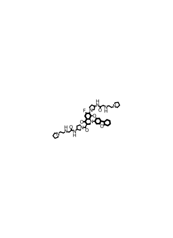 O=C(CNCCN1CCCC1)NC1CCN(C(=O)c2cn3c4c(c(N5CC[C@@H](NC(=O)CNCCN6CCCC6)C5)c(F)cc4c2=O)Oc2cc4c(cc2-3)oc2ccccc24)C1